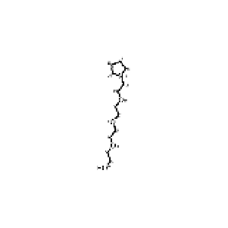 OCCOCCOCCOCCN1CCCC1